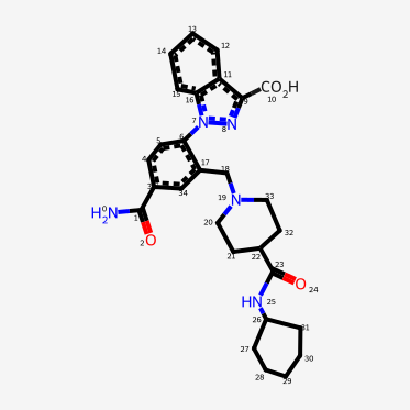 NC(=O)c1ccc(-n2nc(C(=O)O)c3ccccc32)c(CN2CCC(C(=O)NC3CCCCC3)CC2)c1